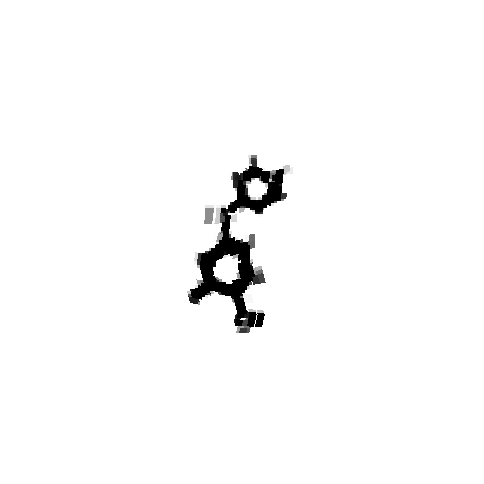 Cc1cc(Nc2ccncn2)ccc1O